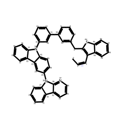 C/C=C\c1c(Cc2cccc(-c3cccc(-n4c5ccccc5c5cc(-n6c7ccccc7c7cccnc76)ccc54)c3)c2)sc2ccccc12